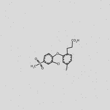 CS(=O)(=O)c1ccc(Oc2cc(F)ccc2CCC(=O)O)c(Cl)c1